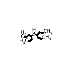 C=C/C=C(BC(/C=C\C)=C/C=C)\C=C/C